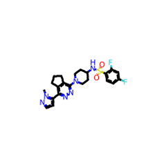 Cn1nccc1-c1nnc(N2CCC(NS(=O)(=O)c3ccc(F)cc3F)CC2)c2c1CCC2